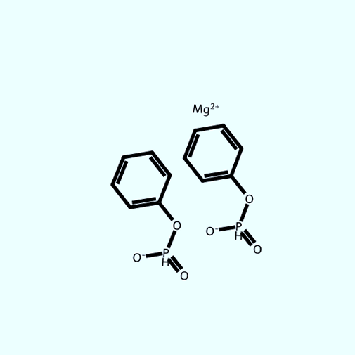 O=[PH]([O-])Oc1ccccc1.O=[PH]([O-])Oc1ccccc1.[Mg+2]